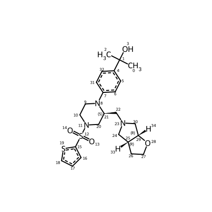 CC(C)(O)c1ccc(N2CCN(S(=O)(=O)c3cccs3)C[C@@H]2CN2C[C@H]3CCO[C@H]3C2)cc1